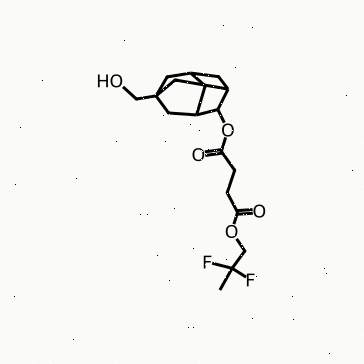 CC(F)(F)COC(=O)CCC(=O)OC1C2CC3CC1CC(CO)(C3)C2